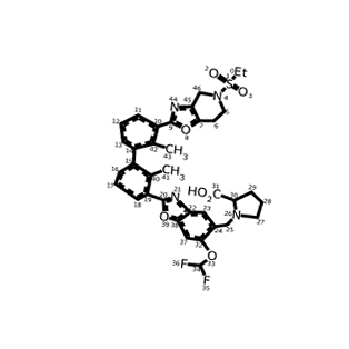 CCS(=O)(=O)N1CCc2oc(-c3cccc(-c4cccc(-c5nc6cc(CN7CCCC7C(=O)O)c(OC(F)F)cc6o5)c4C)c3C)nc2C1